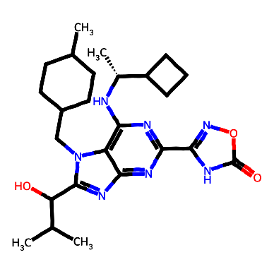 CC1CCC(Cn2c(C(O)C(C)C)nc3nc(-c4noc(=O)[nH]4)nc(N[C@H](C)C4CCC4)c32)CC1